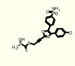 CN(O)C(=S)SCC#Cc1nc(-c2ccc(Cl)cc2)c(-c2ccc(S(N)(=O)=O)cc2)o1